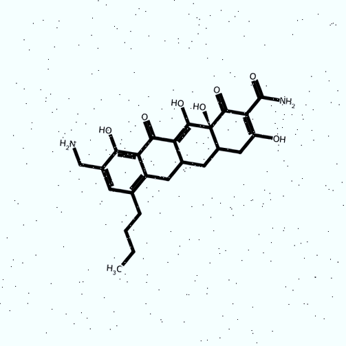 CCCCc1cc(CN)c(O)c2c1CC1CC3CC(O)=C(C(N)=O)C(=O)[C@@]3(O)C(O)=C1C2=O